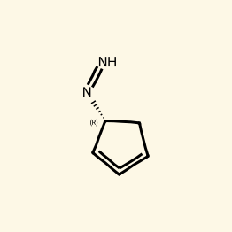 N=N[C@H]1C=C=CC1